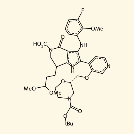 COc1c(F)cccc1Nc1c(-c2ccncc2OC[C@@H]2CN(C(=O)OC(C)(C)C)CCO2)[nH]c2c1C(=O)N(C(=O)O)CC2CCC(OC)OC